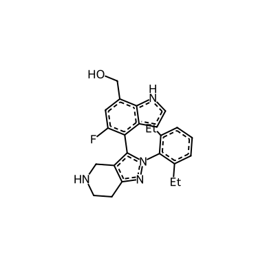 CCc1cccc(CC)c1-n1nc2c(c1-c1c(F)cc(CO)c3[nH]ccc13)CNCC2